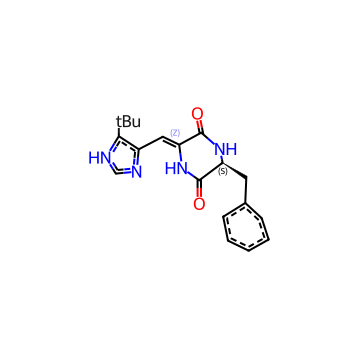 CC(C)(C)c1[nH]cnc1/C=C1\NC(=O)[C@H](Cc2ccccc2)NC1=O